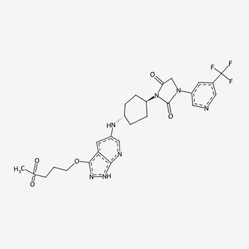 CS(=O)(=O)CCCOc1n[nH]c2ncc(N[C@H]3CC[C@H](N4C(=O)CN(c5cncc(C(F)(F)F)c5)C4=O)CC3)cc12